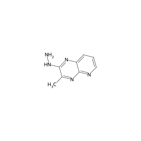 Cc1nc2ncccc2nc1NN